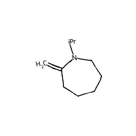 C=C1CCCCCN1C(C)C